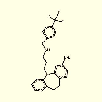 Nc1ccc2c(c1)N(CCCNCc1ccc(C(F)(F)F)cc1)c1ccccc1CC2